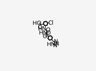 O=C(Nc1cc(Cl)ccc1C(=O)O)NS(=O)(=O)c1ccc(-c2nnn[nH]2)cc1